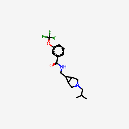 CC(C)CN1CC2C(CNC(=O)c3cccc(OC(F)(F)F)c3)C2C1